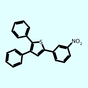 O=[N+]([O-])c1cccc(-c2cc(-c3ccccc3)c(-c3ccccc3)s2)c1